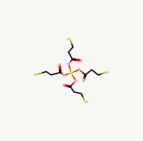 O=C(CCS)OS(OC(=O)CCS)(OC(=O)CCS)OC(=O)CCS